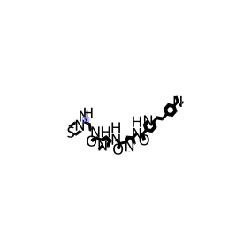 [H]/N=C(\CCNC(=O)c1cc(NC(=O)c2cc(NC(=O)c3ccc(C=Cc4ccc(N(C)C)cc4)nc3)cn2C)cn1C)N1CCSCC1